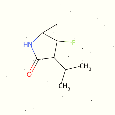 CC(C)C1C(=O)NC2CC21F